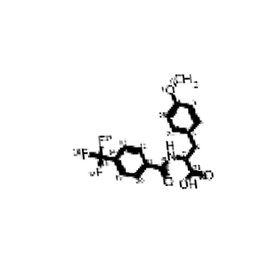 COc1ccc(CC(NC(=O)c2ccc(C(F)(F)F)cc2)C(=O)O)cc1